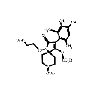 CCOC(=O)OC1=C(c2c(C)cc(C)c(C)c2C)C(=O)N(OCCOC)C12CCN(OC)CC2